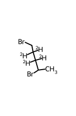 [2H]C([2H])(CBr)C([2H])([2H])C(C)Br